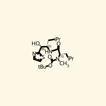 CC(C)C[C@H](NC(=O)[C@H](CC(C)C)N(C)C(=O)OC(C)(C)C)[C@@H](O)c1nccs1